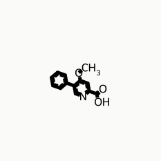 COc1cc(C(=O)O)ncc1-c1ccccc1